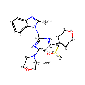 CNc1nc2ccccc2n1-c1nc(N2CCOC[C@H]2C)cc(C2([S@@+](C)[O-])CCOCC2)n1